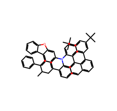 CC1CC(c2ccccc2N(c2ccc3c(c2)oc2ccccc23)c2ccccc2-c2cccc3cccc(-c4cc(C(C)(C)C)cc(C(C)(C)C)c4)c23)=CC=C1c1ccccc1